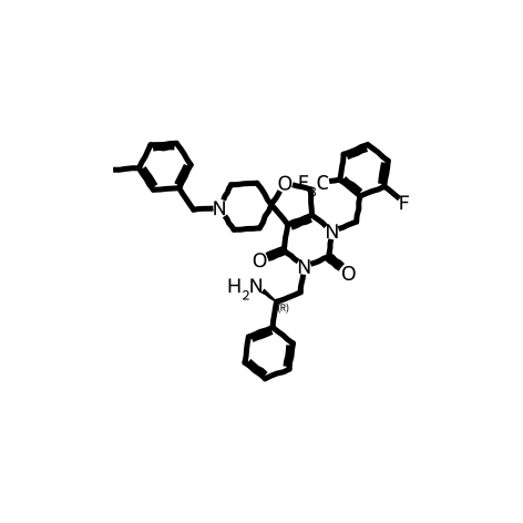 Cc1cccc(CN2CCC3(CC2)OCc2c3c(=O)n(C[C@H](N)c3ccccc3)c(=O)n2Cc2c(F)cccc2C(F)(F)F)c1